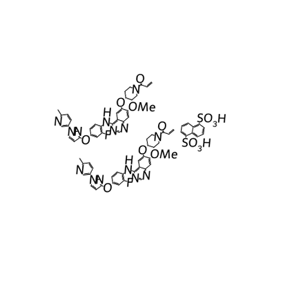 C=CC(=O)N1CCC(Oc2cc3c(Nc4ccc(Oc5ccn(-c6ccc(C)nc6)n5)cc4F)ncnc3cc2OC)CC1.C=CC(=O)N1CCC(Oc2cc3c(Nc4ccc(Oc5ccn(-c6ccc(C)nc6)n5)cc4F)ncnc3cc2OC)CC1.O=S(=O)(O)c1cccc2c(S(=O)(=O)O)cccc12